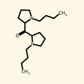 CCCCN1CCCC1C(=O)C1CCCN1CCCC